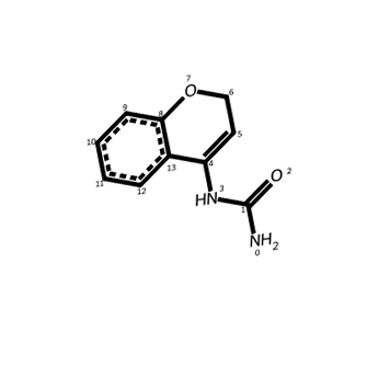 NC(=O)NC1=CCOc2ccccc21